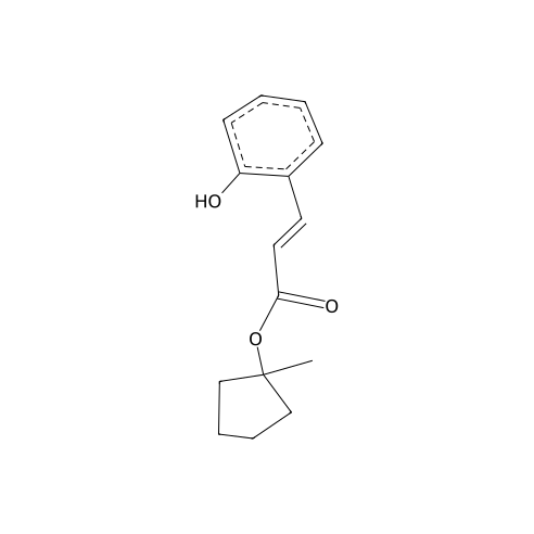 CC1(OC(=O)C=Cc2ccccc2O)CCCC1